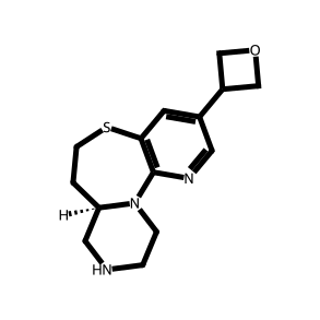 c1nc2c(cc1C1COC1)SCC[C@@H]1CNCCN21